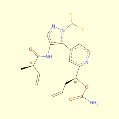 C=CC[C@H](OC(N)=O)c1cc(-c2c(NC(=O)[C@H](C)C=C)cnn2C(F)F)ccn1